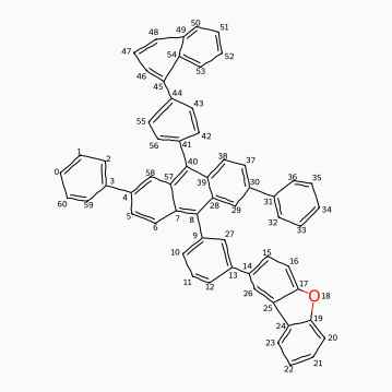 c1ccc(-c2ccc3c(-c4cccc(-c5ccc6oc7ccccc7c6c5)c4)c4cc(-c5ccccc5)ccc4c(-c4ccc(-c5cccc6ccccc56)cc4)c3c2)cc1